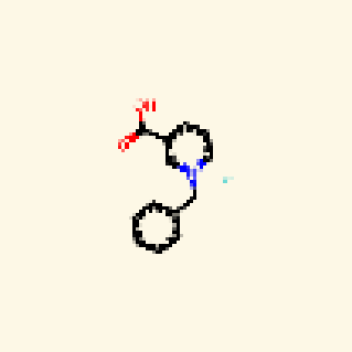 O=C(O)c1ccc[n+](Cc2ccccc2)c1.[F-]